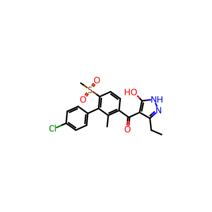 CCc1n[nH]c(O)c1C(=O)c1ccc(S(C)(=O)=O)c(-c2ccc(Cl)cc2)c1C